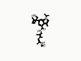 CC1=CCC1(C=N)c1cc(C(=O)NC/C(C)=C(C)/C=C(/C)NC=O)c2c(C)cn(C(C)C)c2c1